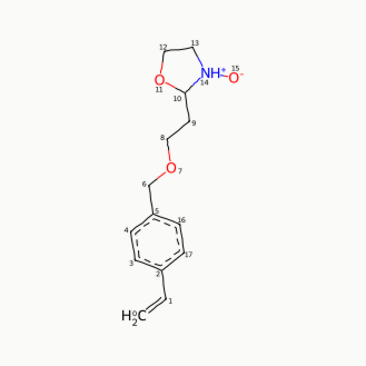 C=Cc1ccc(COCCC2OCC[NH+]2[O-])cc1